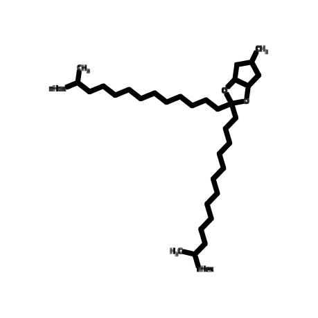 CCCCCCC(C)CCCCCCCCCCCC1(CCCCCCCCCCCC(C)CCCCCC)OC2CC(C)CC2O1